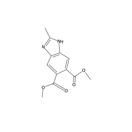 COC(=O)c1cc2nc(C)[nH]c2cc1C(=O)OC